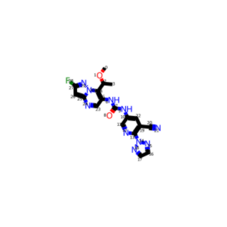 COC(C)c1c(NC(=O)Nc2cnc(-n3nccn3)c(C#N)c2)cnc2cc(F)nn12